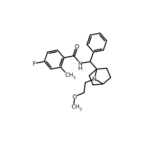 COCCN1C2CCC1(C(NC(=O)c1ccc(F)cc1C)c1ccccc1)CC2